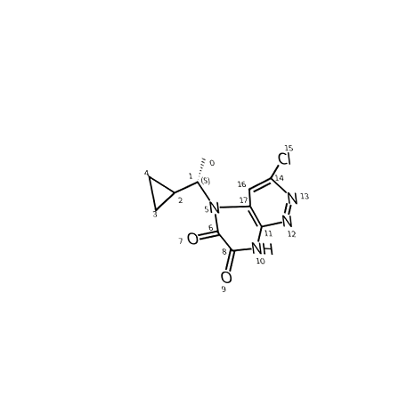 C[C@@H](C1CC1)n1c(=O)c(=O)[nH]c2nnc(Cl)cc21